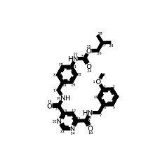 COc1cccc(CNC(=O)c2cc(C(=O)NCc3ccc(NC(=O)OCC(C)C)cc3)ncn2)c1